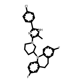 Cc1[nH]c(-c2ccc(Cl)cc2)nc1N1CCCC(N2c3ccc(F)cc3CCc3cc(F)ccc32)C1